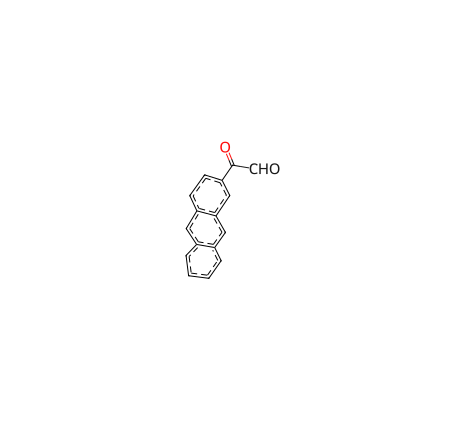 O=CC(=O)c1ccc2cc3ccccc3cc2c1